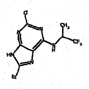 CCc1nc2c(NC(C)C(F)(F)F)nc(Cl)nc2[nH]1